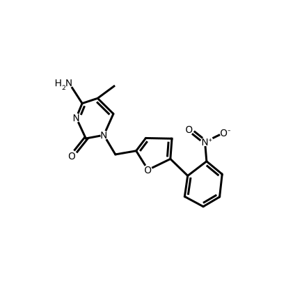 Cc1cn(Cc2ccc(-c3ccccc3[N+](=O)[O-])o2)c(=O)nc1N